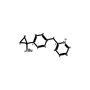 CCCCC1(c2ccc(Cc3c[c]ccn3)cc2)CC1